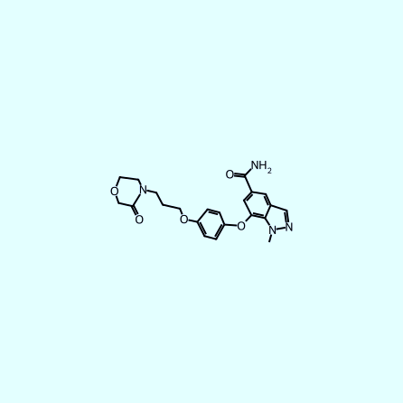 Cn1ncc2cc(C(N)=O)cc(Oc3ccc(OCCCN4CCOCC4=O)cc3)c21